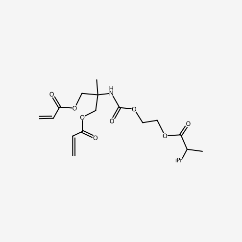 C=CC(=O)OCC(C)(COC(=O)C=C)NC(=O)OCCOC(=O)C(C)C(C)C